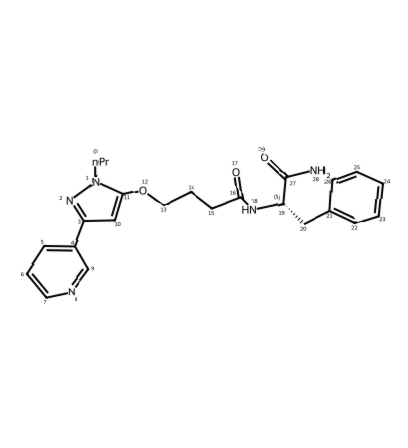 CCCn1nc(-c2cccnc2)cc1OCCCC(=O)N[C@@H](Cc1ccccc1)C(N)=O